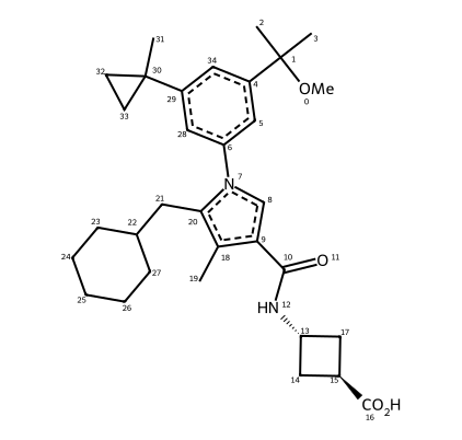 COC(C)(C)c1cc(-n2cc(C(=O)N[C@H]3C[C@H](C(=O)O)C3)c(C)c2CC2CCCCC2)cc(C2(C)CC2)c1